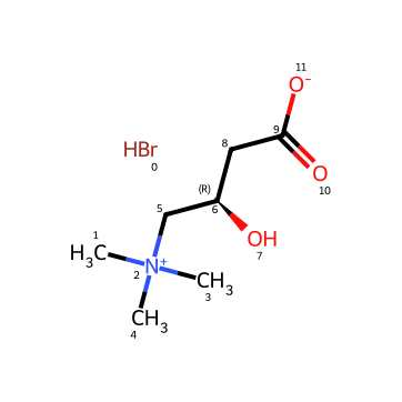 Br.C[N+](C)(C)C[C@H](O)CC(=O)[O-]